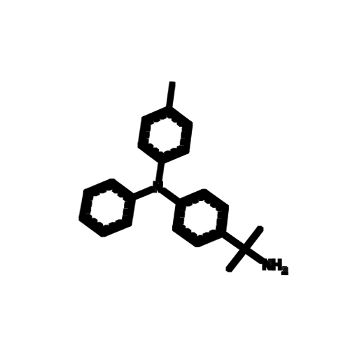 Cc1ccc(N(c2ccccc2)c2ccc(C(C)(C)N)cc2)cc1